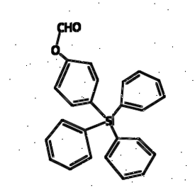 O=COc1ccc([Si](c2ccccc2)(c2ccccc2)c2ccccc2)cc1